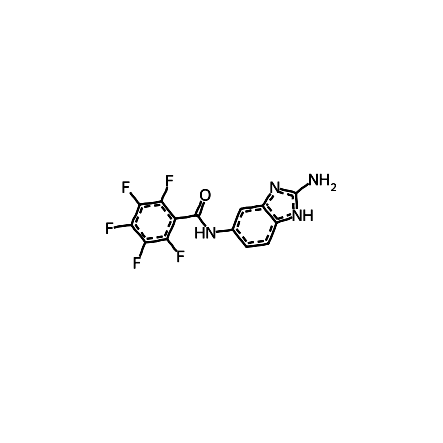 Nc1nc2cc(NC(=O)c3c(F)c(F)c(F)c(F)c3F)ccc2[nH]1